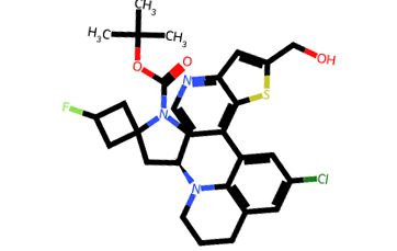 CC(C)(C)OC(=O)N1C[C@@H](N2CCCc3cc(Cl)cc(-c4ccnc5cc(CO)sc45)c32)CC12CC(F)C2